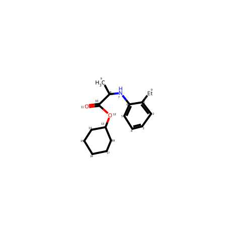 CCc1ccccc1NC(C)C(=O)OC1CCCCC1